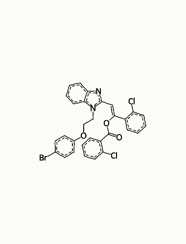 O=C(OC(=Cc1nc2ccccc2n1CCOc1ccc(Br)cc1)c1ccccc1Cl)c1ccccc1Cl